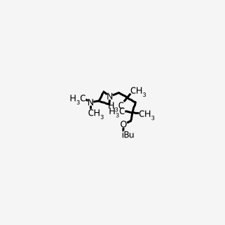 CCC(C)OCC(C)(C)CC(C)(C)CN1CC(N(C)C)C1